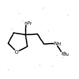 CCCC1(CCNC(C)(C)C)CCOC1